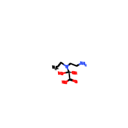 CCN(CCN)C(O)(O)C(=O)O